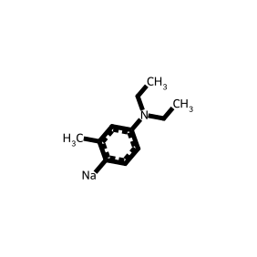 CCN(CC)c1cc[c]([Na])c(C)c1